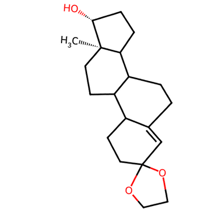 C[C@@]12CCC3C4CCC5(C=C4CCC3C1CC[C@H]2O)OCCO5